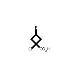 O=C(O)C1(Cl)CC(F)C1